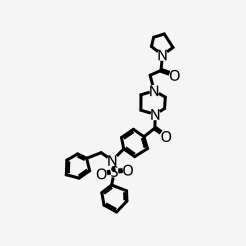 O=C(CN1CCN(C(=O)c2ccc(N(Cc3ccccc3)S(=O)(=O)c3ccccc3)cc2)CC1)N1CCCC1